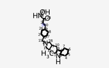 Cc1[nH]c2ccccc2c1CC1CCN(Cc2ccc(/C=C/C(=O)NO)cc2)C1